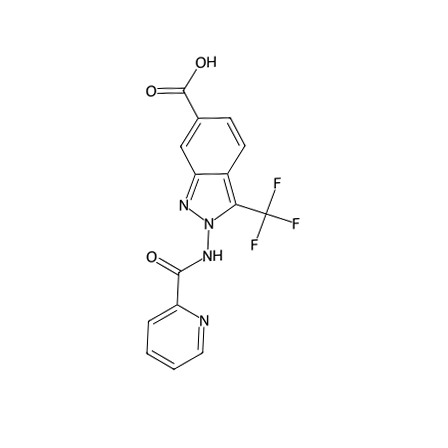 O=C(O)c1ccc2c(C(F)(F)F)n(NC(=O)c3ccccn3)nc2c1